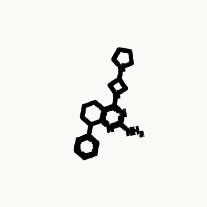 Nc1nc2c(c(N3CC(N4CCCC4)C3)n1)CCCC2c1ccccc1